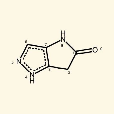 O=C1Cc2[nH]ncc2N1